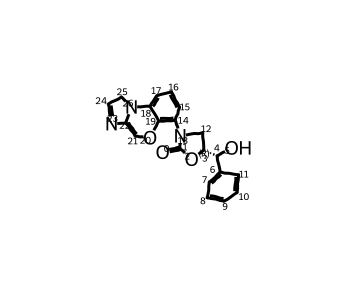 O=C1O[C@@H](C(O)c2ccccc2)CN1c1cccc2c1OC=C1N=CCN12